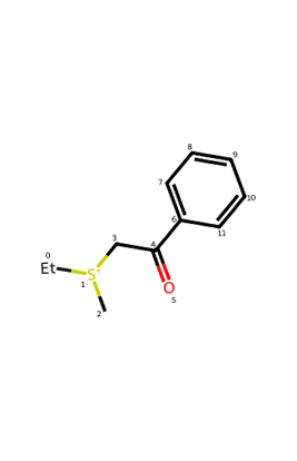 CC[S+](C)CC(=O)c1ccccc1